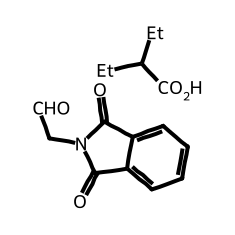 CCC(CC)C(=O)O.O=CCN1C(=O)c2ccccc2C1=O